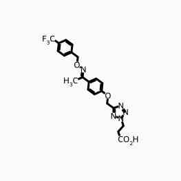 C/C(=N\OCc1ccc(C(F)(F)F)cc1)c1ccc(OCc2nnn(CCC(=O)O)n2)cc1